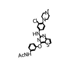 CC(=O)Nc1cccc(Oc2nc(Nc3ccc(N4CCN(C)CC4)c(Cl)c3)nc3ccsc23)c1